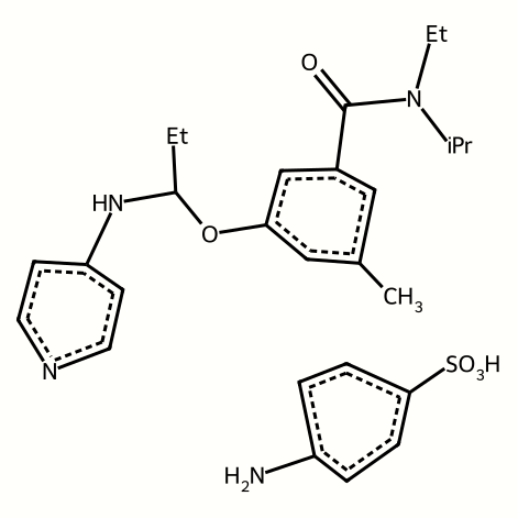 CCC(Nc1ccncc1)Oc1cc(C)cc(C(=O)N(CC)C(C)C)c1.Nc1ccc(S(=O)(=O)O)cc1